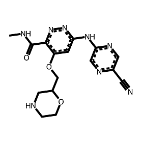 CNC(=O)c1nnc(Nc2cnc(C#N)cn2)cc1OCC1CNCCO1